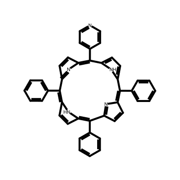 C1=Cc2nc1c(-c1ccccc1)c1ccc([nH]1)c(-c1ccccc1)c1nc(c(-c3ccncc3)c3ccc([nH]3)c2-c2ccccc2)C=C1